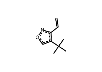 C=Cc1nocc1C(C)(C)C